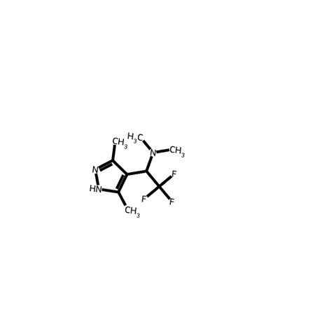 Cc1n[nH]c(C)c1C(N(C)C)C(F)(F)F